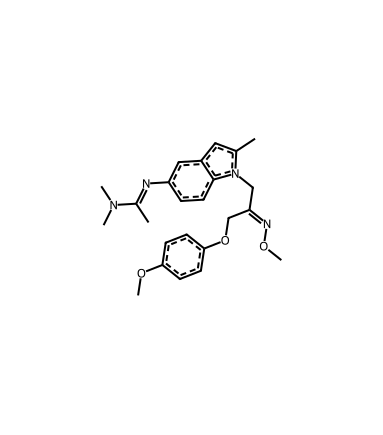 CO/N=C(\COc1ccc(OC)cc1)Cn1c(C)cc2cc(/N=C(\C)N(C)C)ccc21